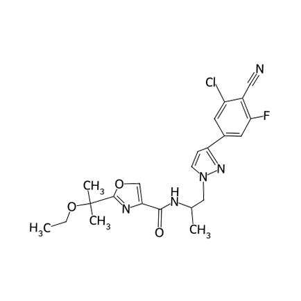 CCOC(C)(C)c1nc(C(=O)NC(C)Cn2ccc(-c3cc(F)c(C#N)c(Cl)c3)n2)co1